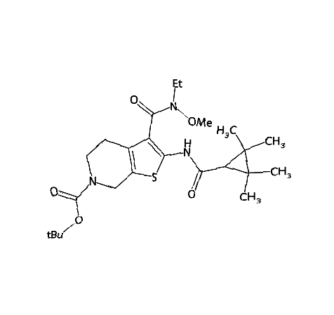 CCN(OC)C(=O)c1c(NC(=O)C2C(C)(C)C2(C)C)sc2c1CCN(C(=O)OC(C)(C)C)C2